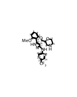 COc1cccc(OCC2CNCCO2)c1-c1cc(Nc2cnc(C(F)(F)F)cn2)n[nH]1